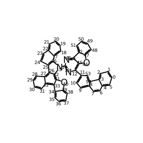 c1ccc2c(c1)ccc1ccc(-c3nc(-n4c5c6ccccc6ccc5c5c6ccccc6c6c7ccccc7oc6c54)nc4c3oc3ccccc34)cc12